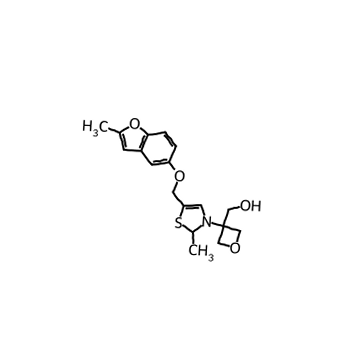 Cc1cc2cc(OCC3=CN(C4(CO)COC4)C(C)S3)ccc2o1